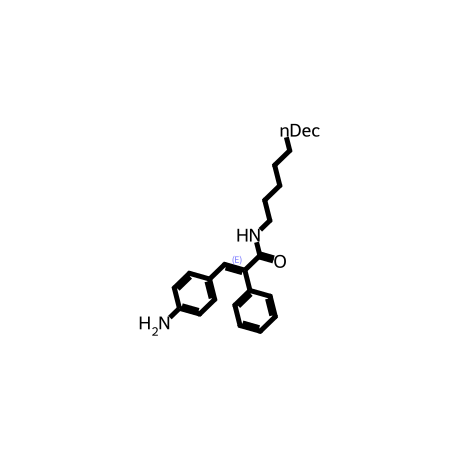 CCCCCCCCCCCCCCCNC(=O)/C(=C/c1ccc(N)cc1)c1ccccc1